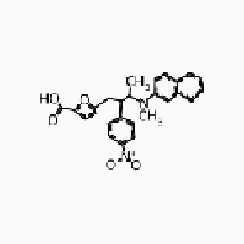 CC(C(Cc1ccc(C(=O)O)o1)c1ccc([N+](=O)[O-])cc1)N(C)c1ccc2ccccc2c1